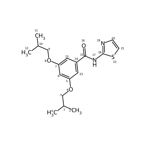 CC(C)COc1cc(OCC(C)C)cc(C(=O)Nc2nccs2)c1